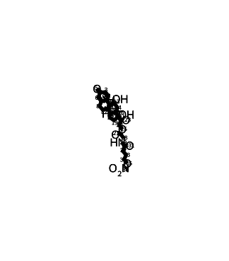 C[C@]12C=CC(=O)C=C1CC[C@@H]1[C@@H]2[C@@H](O)C[C@@]2(C)[C@H]1CC[C@]2(O)C(=O)COC(=O)CNC(=O)CCCO[N+](=O)[O-]